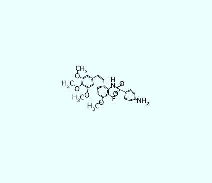 COc1ccc(/C=C\c2cc(OC)c(OC)c(OC)c2)c(NS(=O)(=O)c2ccc(N)cc2)c1F